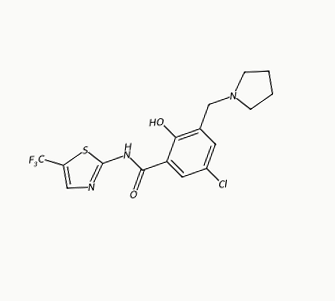 O=C(Nc1ncc(C(F)(F)F)s1)c1cc(Cl)cc(CN2CCCC2)c1O